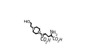 NC(CCN(C(=O)O)N1CCN(CCO)CC1)C(=O)O